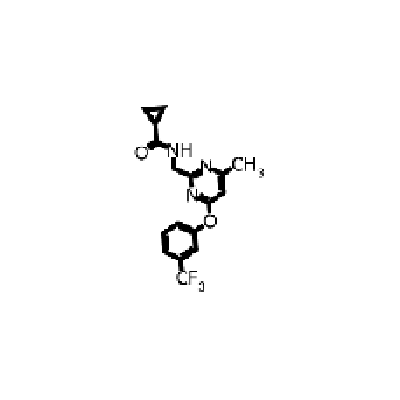 Cc1cc(Oc2cccc(C(F)(F)F)c2)nc(CNC(=O)C2CC2)n1